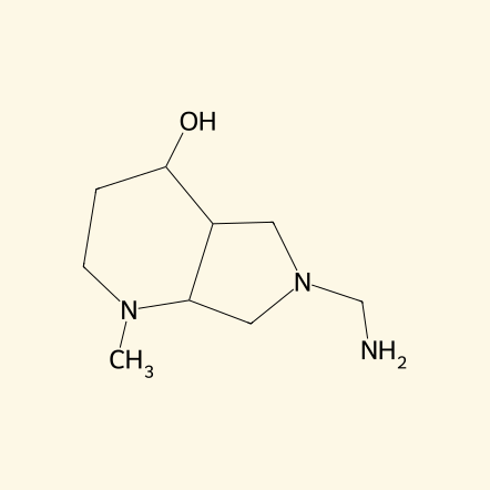 CN1CCC(O)C2CN(CN)CC21